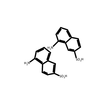 Nc1cccc2cc(S(=O)(=O)O)ccc12.Nc1cccc2ccc(S(=O)(=O)O)cc12